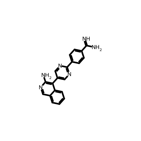 N=C(N)c1ccc(-c2ncc(-c3c(N)ncc4ccccc34)cn2)cc1